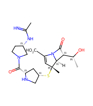 CC(=N)N[C@H]1CCN(C(=O)[C@@H]2C[C@H](S[C@]3(C)C=C(C(=O)O)N4C(=O)[C@H]([C@@H](C)O)[C@H]43)CN2)C1